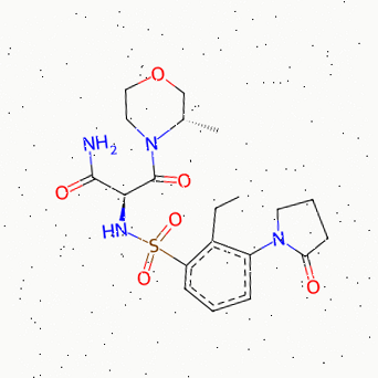 CCc1c(N2CCCC2=O)cccc1S(=O)(=O)N[C@@H](C(N)=O)C(=O)N1CCOC[C@@H]1C